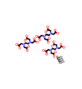 O=C([O-])CN(CCN(CC(=O)[O-])CC(=O)[O-])CC(=O)[O-].O=C([O-])CN(CCN(CC(=O)[O-])CC(=O)[O-])CC(=O)[O-].O=C([O-])CN(CCN(CC(=O)[O-])CC(=O)[O-])CC(=O)[O-].[Eu+3].[Eu+3].[Eu+3].[Eu+3]